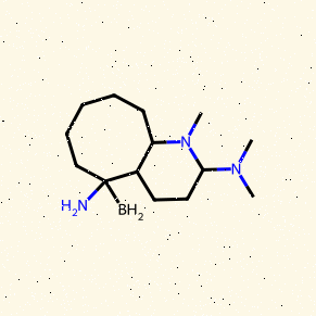 BC1(N)CCCCCC2C1CCC(N(C)C)N2C